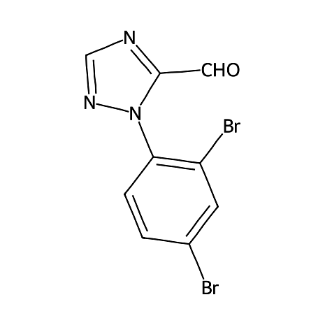 O=Cc1ncnn1-c1ccc(Br)cc1Br